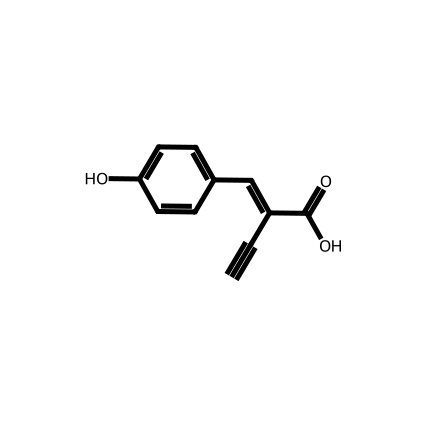 C#C/C(=C\c1ccc(O)cc1)C(=O)O